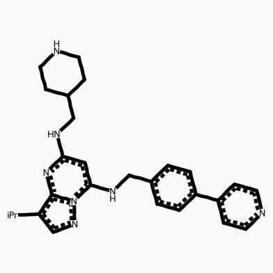 CC(C)c1cnn2c(NCc3ccc(-c4ccncc4)cc3)cc(NCC3CCNCC3)nc12